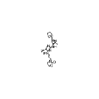 Cc1nn(C2CC3CCC(C2)N3C)cc1Nc1ncc(C2CC2)c(NCCCN2CCCOC2=O)n1